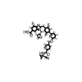 N#CC1(NC(=O)c2ccc(COc3cccc(-c4cc(F)c(Cc5nc6c(F)cc(C(=O)O)cc6n5C[C@@H]5CCO5)cc4F)n3)cn2)CC1